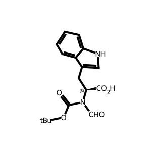 CC(C)(C)OC(=O)N(C=O)[C@@H](Cc1c[nH]c2ccccc12)C(=O)O